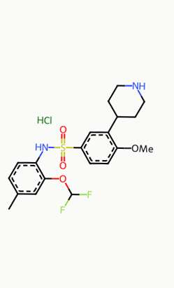 COc1ccc(S(=O)(=O)Nc2ccc(C)cc2OC(F)F)cc1C1CCNCC1.Cl